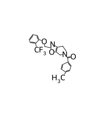 Cc1ccc(C(=O)N2CCc3nc(COc4ccccc4C(F)(F)F)oc3C2)cc1